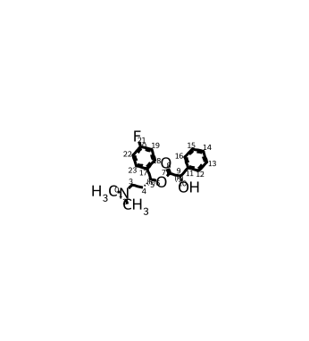 CN(C)CC[C@@H](OC(=O)[C@H](O)c1ccccc1)c1ccc(F)cc1